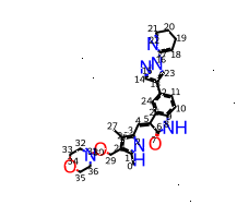 Cc1[nH]c(/C=C2\C(=O)Nc3ccc(-c4cnn(C5=CCCC=N5)c4)cc32)c(C)c1CON1CCOCC1